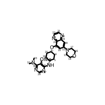 COc1c(N[C@H]2CC[C@@H](Oc3cc(N4CCOCC4)cc4nccnc34)CC2)ncnc1N(C)C